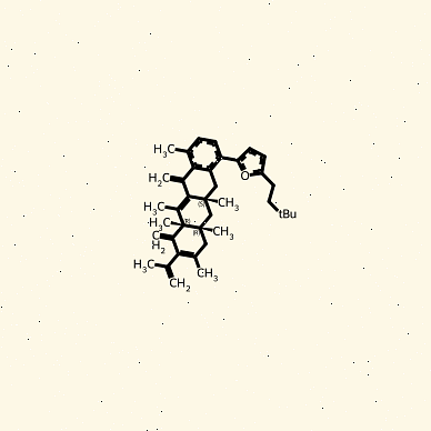 C=C(C)C1=C(C)C[C@@]2(C)C[C@@]3(C)Cc4c(-c5ccc(CCC(C)(C)C)o5)ccc(C)c4C(=C)C3=C(C)[C@@]2(C)C1=C